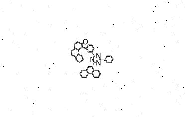 c1ccc(-c2nc(-c3ccc4oc5ccc6ccc7ccccc7c6c5c4c3)nc(-c3cc4ccccc4c4ccccc34)n2)cc1